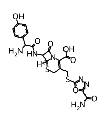 NC(=O)c1nnc(SCC2=C(C(=O)O)N3C(=O)C(NC(=O)C(N)c4ccc(O)cc4)[C@H]3SC2)o1